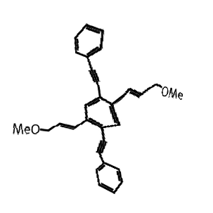 COCC=Cc1cc(C#Cc2ccccc2)c(C=CCOC)cc1C#Cc1ccccc1